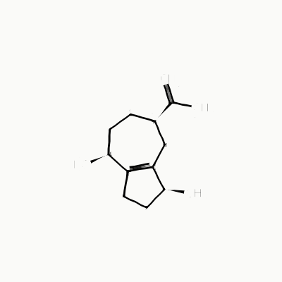 C=C(C)[C@@H]1CC[C@H](C)C2=C(C1)[C@@H](C)CC2